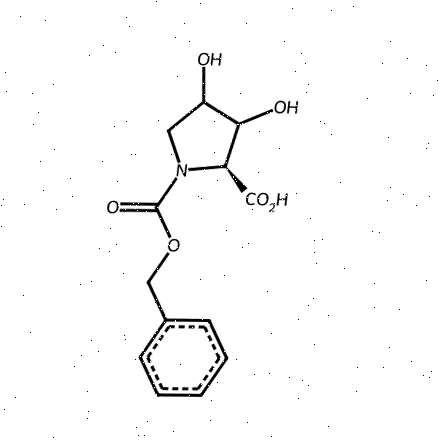 O=C(O)[C@@H]1C(O)C(O)CN1C(=O)OCc1ccccc1